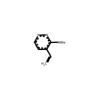 C=Cc1ccnnc1NC